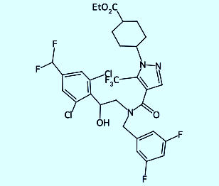 CCOC(=O)C1CCC(n2ncc(C(=O)N(Cc3cc(F)cc(F)c3)CC(O)c3c(Cl)cc(C(F)F)cc3Cl)c2C(F)(F)F)CC1